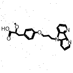 COC(Cc1ccc(OCCCn2c3cccnc3c3ncccc32)cc1)C(=O)O